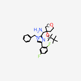 CC(C)(C)[Si](C)(C)OC1([C@@H](N)c2nc(-c3cc(F)ccc3F)cn2Cc2ccccc2)CCOCC1